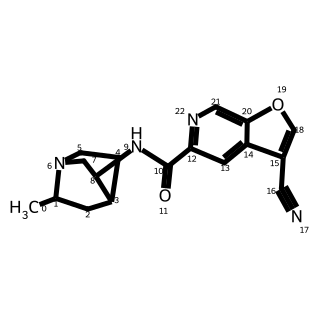 CC1CC2CCN1CC2NC(=O)c1cc2c(C#N)coc2cn1